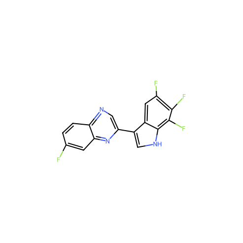 Fc1ccc2ncc(-c3c[nH]c4c(F)c(F)c(F)cc34)nc2c1